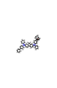 CC1(C)c2cc(N(c3ccccc3)c3ccc(-c4ccccc4)cc3)ccc2-c2ccc(N(c3ccccc3)c3ccc(C45CC6CC(CC(C6)C4)C5)cc3)cc21